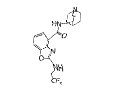 O=C(NC1CN2CCC1CC2)c1cccc2oc(NCC(F)(F)F)nc12